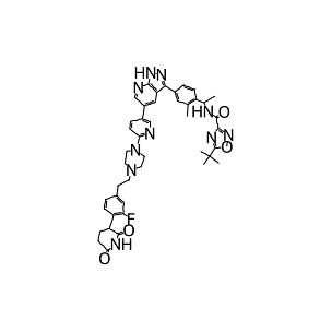 Cc1cc(-c2n[nH]c3ncc(-c4ccc(N5CCN(CCc6ccc(C7CCC(=O)NC7=O)c(F)c6)CC5)nc4)cc23)ccc1C(C)NC(=O)c1noc(C(C)(C)C)n1